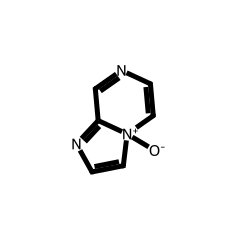 [O-][N+]12C=CN=CC1=NC=C2